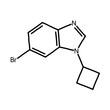 Brc1ccc2ncn(C3CCC3)c2c1